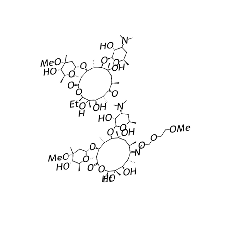 CC[C@H]1OC(=O)[C@H](C)[C@@H](O[C@H]2C[C@@](C)(OC)[C@@H](O)[C@H](C)O2)[C@H](C)[C@@H](O[C@@H]2O[C@H](C)C[C@H](N(C)C)[C@H]2O)[C@](C)(O)C[C@@H](C)/C(=N\OCOCCOC)[C@H](C)[C@@H](O)[C@]1(C)O.CC[C@H]1OC(=O)[C@H](C)[C@@H](O[C@H]2C[C@@](C)(OC)[C@@H](O)[C@H](C)O2)[C@H](C)[C@@H](O[C@@H]2O[C@H](C)C[C@H](N(C)C)[C@H]2O)[C@](C)(O)C[C@@H](C)C(=O)[C@H](C)[C@@H](O)[C@]1(C)O